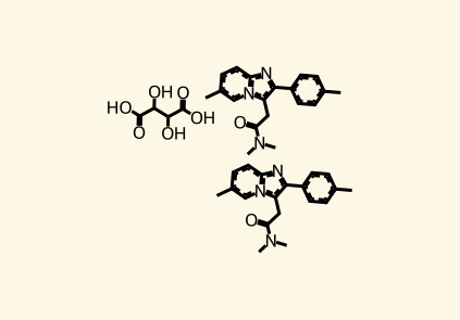 Cc1ccc(-c2nc3ccc(C)cn3c2CC(=O)N(C)C)cc1.Cc1ccc(-c2nc3ccc(C)cn3c2CC(=O)N(C)C)cc1.O=C(O)C(O)C(O)C(=O)O